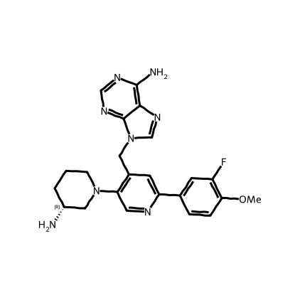 COc1ccc(-c2cc(Cn3cnc4c(N)ncnc43)c(N3CCC[C@@H](N)C3)cn2)cc1F